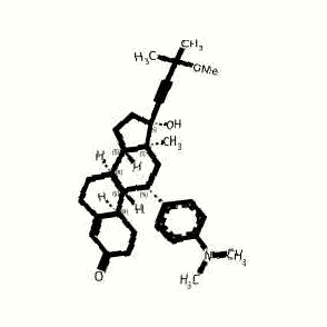 COC(C)(C)C#C[C@]1(O)CC[C@H]2[C@@H]3CCC4=CC(=O)CC[C@@H]4[C@H]3[C@@H](c3ccc(N(C)C)cc3)C[C@@]21C